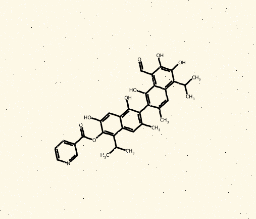 Cc1cc2c(C(C)C)c(OC(=O)c3cccnc3)c(O)cc2c(O)c1-c1c(C)cc2c(C(C)C)c(O)c(O)c(C=O)c2c1O